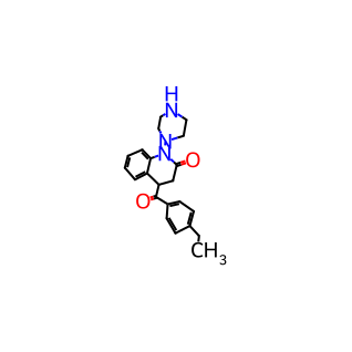 CCc1ccc(C(=O)C2CC(=O)N(N3CCNCC3)c3ccccc32)cc1